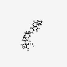 CC1=C(N2CCC3(CCC(NCc4ccc5c(c4)CCc4nnnn4-5)CC3)C2=O)COC1=O